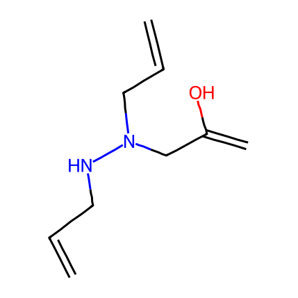 C=CCNN(CC=C)CC(=C)O